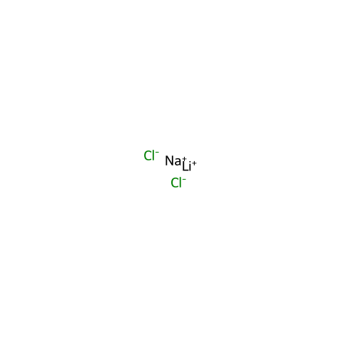 [Cl-].[Cl-].[Li+].[Na+]